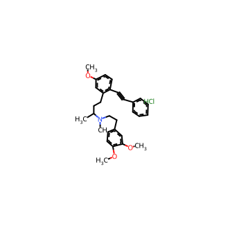 COc1ccc(C#Cc2ccccc2)c(CCC(C)N(C)CCc2ccc(OC)c(OC)c2)c1.Cl